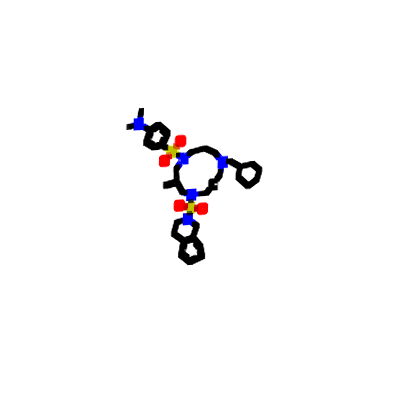 C=C1CN(S(=O)(=O)c2ccc(N(C)C)cc2)CCCN(CC2CCCCC2)CCCN(S(=O)(=O)N2CCc3ccccc3C2)C1